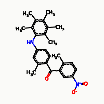 Cc1cc(Nc2c(C)c(C)c(C)c(C)c2C)ccc1C(=O)c1cc([N+](=O)[O-])ccc1C